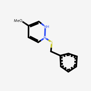 COC1=CNN(SCc2ccccc2)C=C1